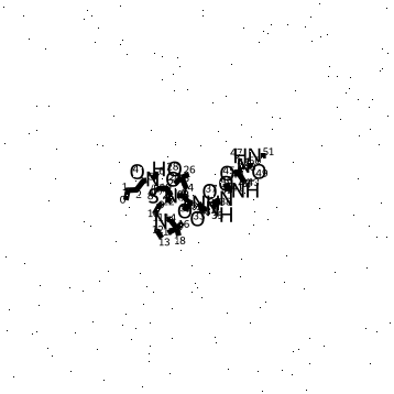 CCCC(=O)N(C)[C@H](SCCN(CC)CC(C)(C)C)C(=O)N(C)[C@@H](CC(C)(C)O)C(=O)NC(=O)N(C)C(=O)NC(=O)N[C@@H](C)C(=O)N(C)C(=O)NC